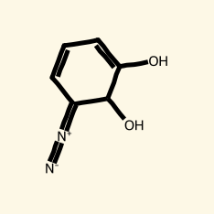 [N-]=[N+]=C1C=CC=C(O)C1O